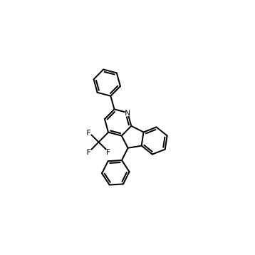 FC(F)(F)c1cc(-c2ccccc2)nc2c1C(c1ccccc1)c1ccccc1-2